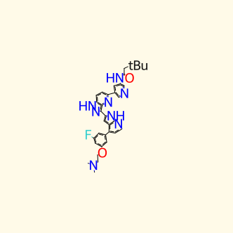 CN(C)CCOc1cc(F)cc(-c2ccnc3[nH]c(-c4n[nH]c5ccc(-c6cncc(NC(=O)CC(C)(C)C)c6)nc45)cc23)c1